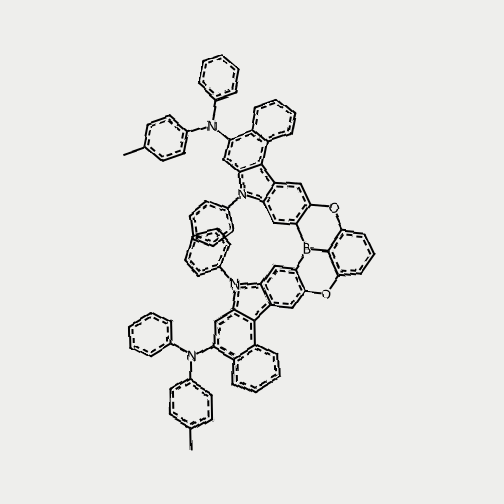 Cc1ccc(N(c2ccccc2)c2cc3c(c4ccccc24)c2cc4c(cc2n3-c2ccccc2)B2c3cc5c(cc3Oc3cccc(c32)O4)c2c3ccccc3c(N(c3ccccc3)c3ccc(C)cc3)cc2n5-c2ccccc2)cc1